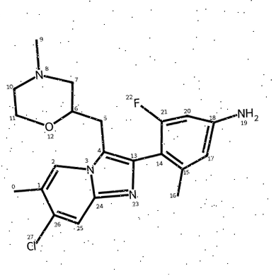 Cc1cn2c(CC3CN(C)CCO3)c(-c3c(C)cc(N)cc3F)nc2cc1Cl